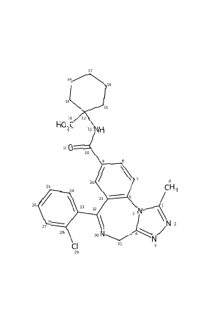 Cc1nnc2n1-c1ccc(C(=O)NC3(C(=O)O)CCCCC3)cc1C(c1ccccc1Cl)=NC2